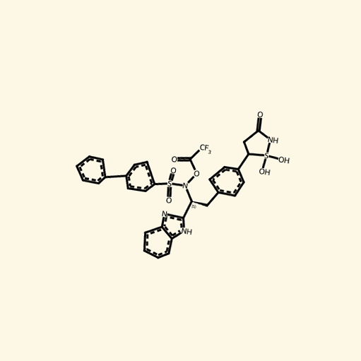 O=C1CC(c2ccc(C[C@@H](c3nc4ccccc4[nH]3)N(OC(=O)C(F)(F)F)S(=O)(=O)c3ccc(-c4ccccc4)cc3)cc2)S(O)(O)N1